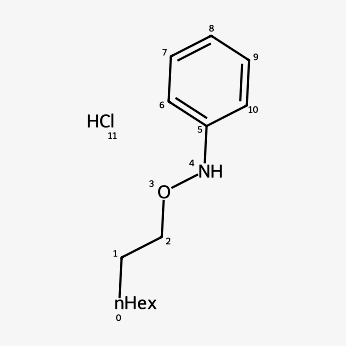 CCCCCCCCONc1ccccc1.Cl